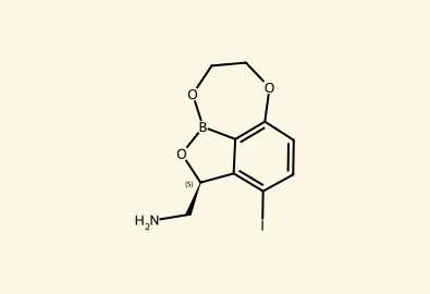 NC[C@H]1OB2OCCOc3ccc(I)c1c32